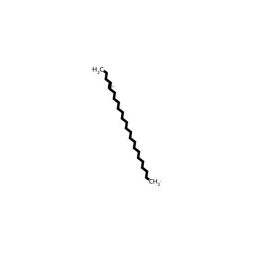 [CH2]CC/C=C/CCCCCCCCCCCCCCCCCC[CH2]